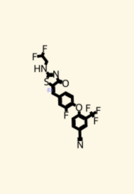 N#Cc1ccc(Oc2ccc(/C=C3/SC(NCC(F)F)=NC3=O)cc2F)c(C(F)(F)F)c1